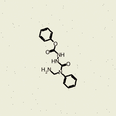 NCN(C(=O)NNC(=O)Oc1ccccc1)c1ccccc1